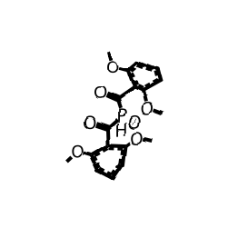 COc1cccc(OC)c1C(=O)[PH](=O)C(=O)c1c(OC)cccc1OC